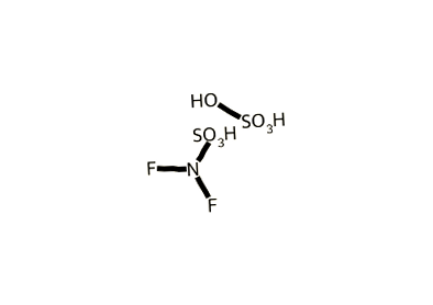 O=S(=O)(O)N(F)F.O=S(=O)(O)O